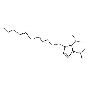 CCCCCCCCCCCN1C=CN(C(C)C)C1C(C)C